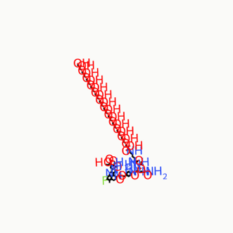 CC[C@@]1(O)C(=O)OCc2c1cc1n(c2=O)Cc2c-1nc1cc(F)c(C)c3c1c2[C@@H](NC(=O)OCc1ccc(NC(=O)[C@H](CCCNC(N)=O)NC(=O)[C@@H](NC(=O)[C@@H](N)CCCCNC(=O)C(O)COCC(O)COCC(O)COCC(O)COCC(O)COCC(O)COCC(O)COCC(O)COCC(O)COCC(O)COCC(O)COCC(O)CO)C(C)C)cc1)CC3